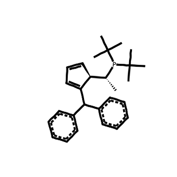 C[C@H]([C@@H]1C=CC=C1C(c1ccccc1)c1ccccc1)P(C(C)(C)C)C(C)(C)C